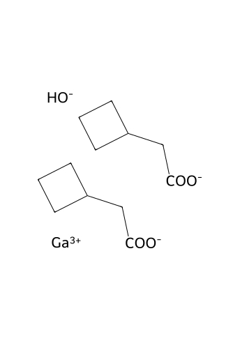 O=C([O-])CC1CCC1.O=C([O-])CC1CCC1.[Ga+3].[OH-]